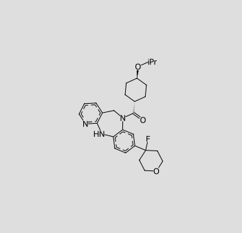 CC(C)O[C@H]1CC[C@H](C(=O)N2Cc3cccnc3Nc3ccc(C4(F)CCOCC4)cc32)CC1